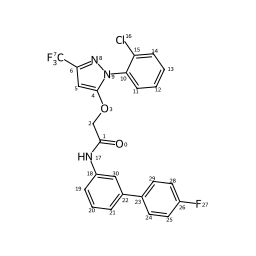 O=C(COc1cc(C(F)(F)F)nn1-c1ccccc1Cl)Nc1cccc(-c2ccc(F)cc2)c1